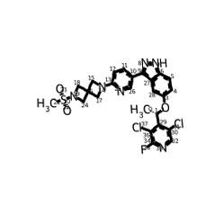 C[C@H](Oc1ccc2[nH]nc(-c3ccc(N4CC5(C4)CN(S(C)(=O)=O)C5)nc3)c2c1)c1c(Cl)cnc(F)c1Cl